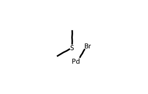 CSC.[Br][Pd]